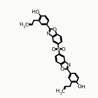 C=CCc1cc(-c2nc3cc(S(=O)(=O)c4ccc5oc(-c6ccc(O)c(CC=C)c6)nc5c4)ccc3o2)ccc1O